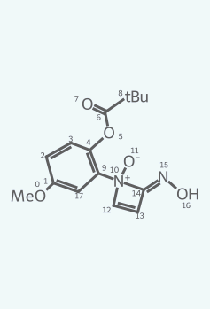 COc1ccc(OC(=O)C(C)(C)C)c([N+]2([O-])C=CC2=NO)c1